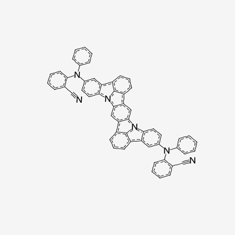 N#Cc1ccccc1N(c1ccccc1)c1ccc2c(c1)c1cccc3c4cc5c(cc4n2c13)c1cccc2c3cc(N(c4ccccc4)c4ccccc4C#N)ccc3n5c21